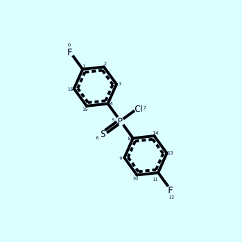 Fc1ccc(P(=S)(Cl)c2ccc(F)cc2)cc1